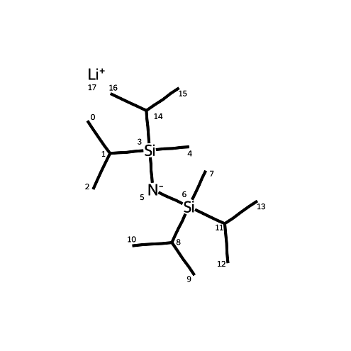 CC(C)[Si](C)([N-][Si](C)(C(C)C)C(C)C)C(C)C.[Li+]